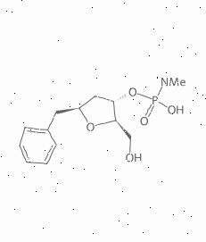 CNP(=O)(O)O[C@H]1C[C@H](Cc2ccccc2)O[C@@H]1CO